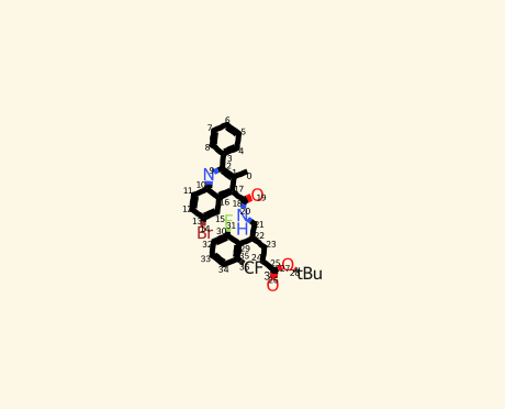 Cc1c(-c2ccccc2)nc2ccc(Br)cc2c1C(=O)NCC(CCC(=O)OC(C)(C)C)c1c(F)cccc1C(F)(F)F